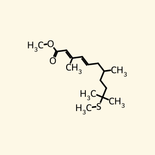 COC(=O)/C=C(C)/C=C/CC(C)CCC(C)(C)SC